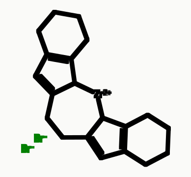 C1=C2CCC3=CC4=C(CCCC4)[CH]3[Zr+2][CH]2C2=C1CCCC2.[Br-].[Br-]